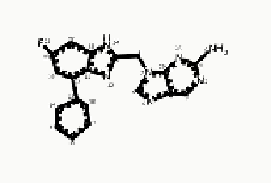 Nc1ncc2ncn(Cc3nc4c(-c5ccccc5)cc(F)cc4[nH]3)c2n1